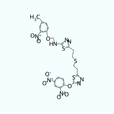 Cc1ccc(OCNc2nnc(CCSCCc3nnc(Oc4ccc([N+](=O)[O-])cc4[N+](=O)[O-])s3)s2)c([N+](=O)[O-])c1